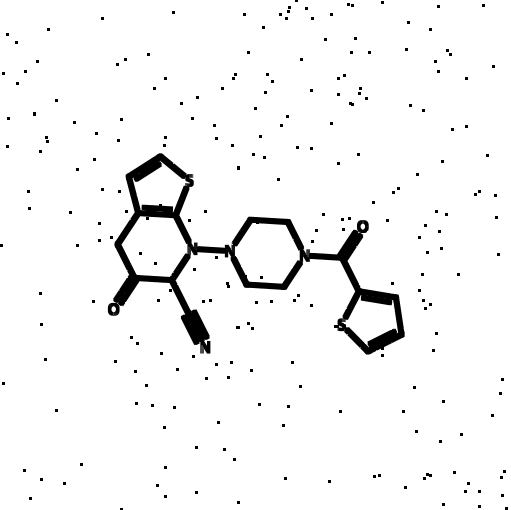 N#CC1C(=O)Cc2ccsc2N1N1CCN(C(=O)c2cccs2)CC1